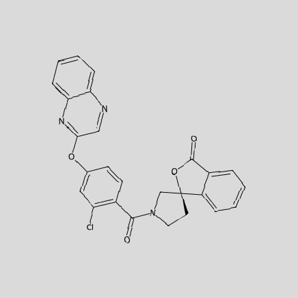 O=C1O[C@]2(CCN(C(=O)c3ccc(Oc4cnc5ccccc5n4)cc3Cl)C2)c2ccccc21